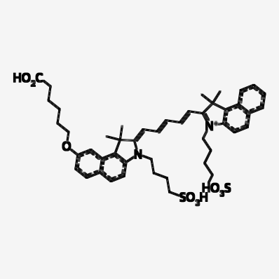 CC1(C)C(/C=C/C=C/C=C2\N(CCCCS(=O)(=O)O)c3ccc4ccc(OCCCCCC(=O)O)cc4c3C2(C)C)=[N+](CCCCS(=O)(=O)O)c2ccc3ccccc3c21